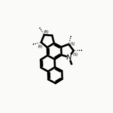 C[C@@H]1Cc2c3c(c4c(ccc5ccccc54)c2[C@@H]1C)N(C)[C@@H](C)[C@H]3C